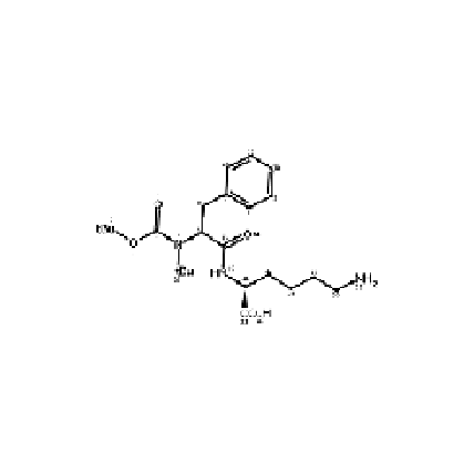 CC(C)(C)OC(=O)N([C@@H](Cc1ccccc1)C(=O)N[C@@H](CCCCN)C(=O)O)C(C)(C)C